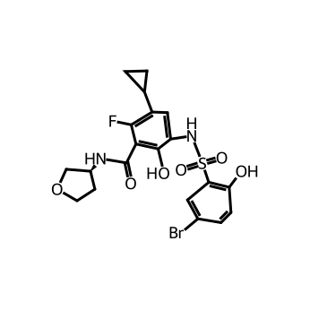 O=C(N[C@H]1CCOC1)c1c(O)c(NS(=O)(=O)c2cc(Br)ccc2O)cc(C2CC2)c1F